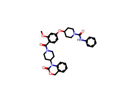 COc1cc(OC2CCN(C(=O)Nc3ccccc3)CC2)ccc1C(=O)N1CCC(N2C(=O)OCc3ccccc32)CC1